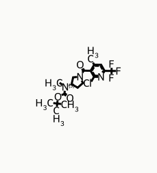 Cc1cc(C(F)(F)F)nc(Cl)c1C(=O)N1CC[C@H](N(C)C(=O)OC(C)(C)C)C1